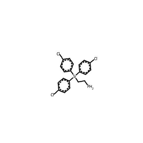 PCC[Si](c1ccc(Cl)cc1)(c1ccc(Cl)cc1)c1ccc(Cl)cc1